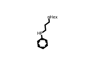 CCCCCCCCCPc1ccccc1